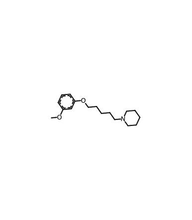 COc1cccc(OCCCCCN2CCCCC2)c1